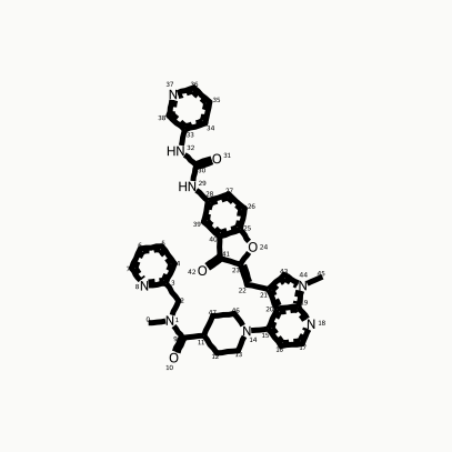 CN(Cc1ccccn1)C(=O)C1CCN(c2ccnc3c2c(C=C2Oc4ccc(NC(=O)Nc5cccnc5)cc4C2=O)cn3C)CC1